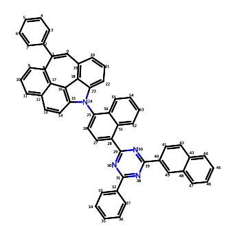 C1=C(c2ccccc2)c2cccc3ccc4c(c23)c2c1cccc2n4-c1ccc(-c2nc(-c3ccccc3)nc(-c3ccc4ccccc4c3)n2)c2ccccc12